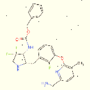 Cc1ccc(CN)nc1Oc1cccc(C[C@@H]2NCC(F)(F)[C@@H]2NC(=O)OCc2ccccc2)c1F